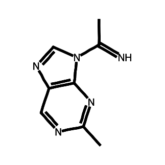 CC(=N)n1cnc2cnc(C)nc21